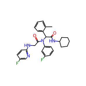 Cc1ccccc1C(C(=O)NC1CCCCC1)N(C(=O)CNc1ccc(F)cn1)c1cccc(F)c1